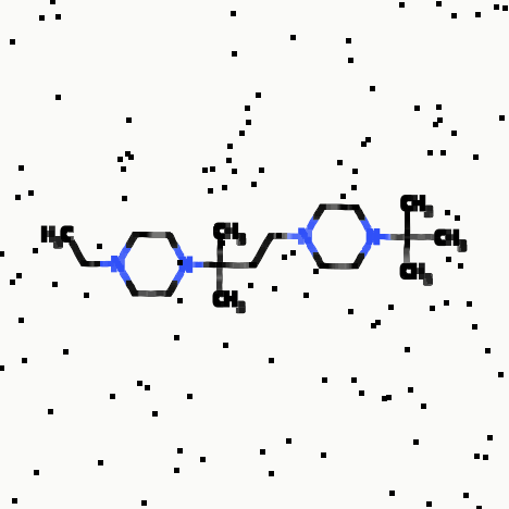 CCN1CCN(C(C)(C)CCN2CCN(C(C)(C)C)CC2)CC1